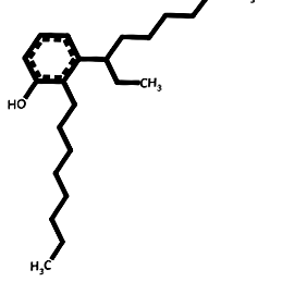 CCCCCCCCc1c(O)cccc1C(CC)CCCCCC